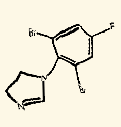 Fc1cc(Br)c(N2C=NCC2)c(Br)c1